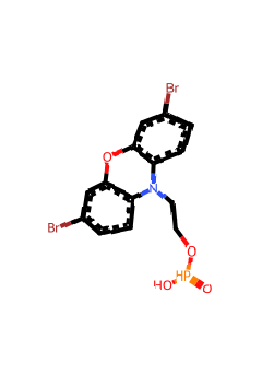 O=[PH](O)OCCN1c2ccc(Br)cc2Oc2cc(Br)ccc21